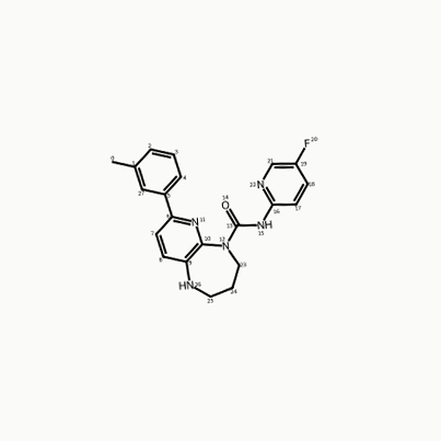 Cc1cccc(-c2ccc3c(n2)N(C(=O)Nc2ccc(F)cn2)CCCN3)c1